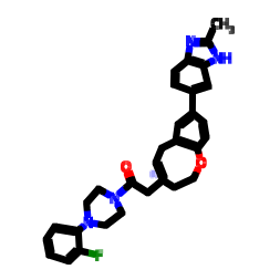 Cc1nc2ccc(-c3ccc4c(c3)C/C=C(/CC(=O)N3CCN(c5ccccc5F)CC3)CCO4)cc2[nH]1